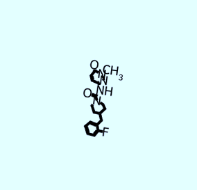 Cn1nc(NC(=O)N2CCC(Cc3ccccc3F)CC2)ccc1=O